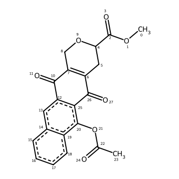 COC(=O)C1CC2=C(CO1)C(=O)c1cc3ccccc3c(OC(C)=O)c1C2=O